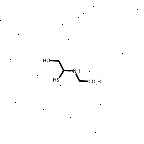 O=C(O)CNC(S)CO